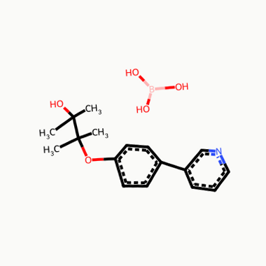 CC(C)(O)C(C)(C)Oc1ccc(-c2cccnc2)cc1.OB(O)O